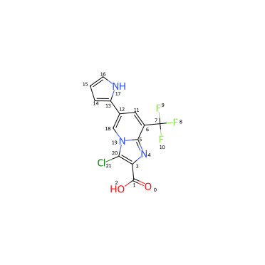 O=C(O)c1nc2c(C(F)(F)F)cc(-c3ccc[nH]3)cn2c1Cl